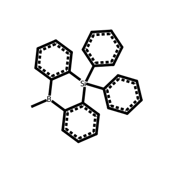 CB1c2ccccc2[Si](c2ccccc2)(c2ccccc2)c2ccccc21